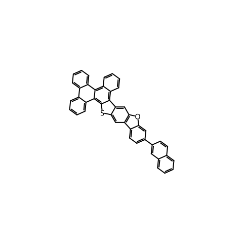 c1ccc2cc(-c3ccc4c(c3)oc3cc5c(cc34)sc3c5c4ccccc4c4c5ccccc5c5ccccc5c34)ccc2c1